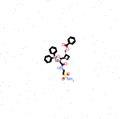 CC(C)(C)[Si](O[C@@H](CC(=O)NCCS(N)(=O)=O)[C@@H]1CC[C@H]1COC(=O)c1ccccc1)(c1ccccc1)c1ccccc1